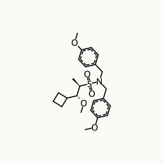 COc1ccc(CN(Cc2ccc(OC)cc2)S(=O)(=O)[C@H](C)[C@H](OC)C2CCC2)cc1